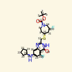 CC(C)(C)OC(=O)N1CC[C@H](SCc2nc3cc(NC4CCCC4)cc(F)c3c(=O)[nH]2)C[C@@H](F)C1